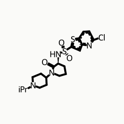 CC(C)N1CCC(N2CCC[C@H](NS(=O)(=O)c3cc4nc(Cl)ccc4s3)C2=O)CC1